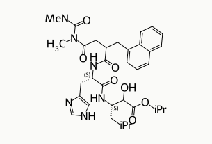 CNC(=O)N(C)C(=O)CC(Cc1cccc2ccccc12)C(=O)N[C@@H](Cc1c[nH]cn1)C(=O)N[C@@H](CC(C)C)C(O)C(=O)OC(C)C